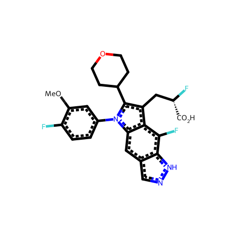 COc1cc(-n2c(C3CCOCC3)c(C[C@H](F)C(=O)O)c3c(F)c4[nH]ncc4cc32)ccc1F